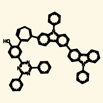 Oc1ccc(-c2nc(-c3ccccc3)nc(-c3ccccc3)n2)cc1C1=CC(c2ccc3c4cc(-c5ccc6c(c5)c5ccccc5n6-c5ccccc5)ccc4n(-c4ccccc4)c3c2)=CCC#C1